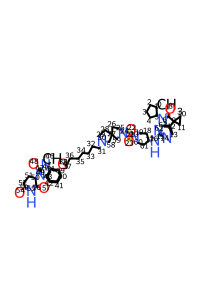 CC1CCCC1N1C(=O)C2(CC2)c2cnc(NC3CCN(S(=O)(=O)N4CCC5(CCN(CCCCCCCOc6cccc7c6n(C)c(=O)n7C6CCC(=O)NC6=O)C5)C4)CC3)nc21